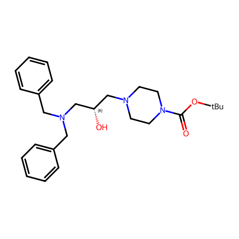 CC(C)(C)OC(=O)N1CCN(C[C@H](O)CN(Cc2ccccc2)Cc2ccccc2)CC1